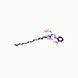 CCCCCCCCCCCCCCNC(=O)[C@H](CO)N=Cc1ccccc1[N+](=O)[O-]